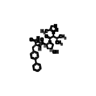 Cc1cnnn1C(C(=O)N1C[C@H](O)C[C@H]1C(=O)NC(Cc1ccc(-c2ccccc2)cc1)C(N)=O)C(C)C